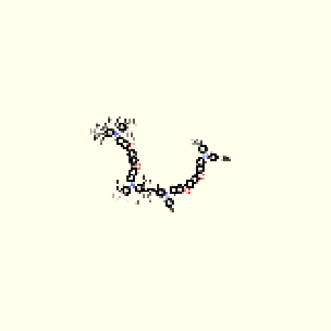 Cc1cc(N(c2cc(C)c(C)c(C)c2)c2ccc3cc4c(cc3c2)oc2cc3cc5oc6cc7cc(N(c8cc(C)c(C)c(C)c8)c8cc(C)c(CCC(C)(C)c9ccc(N(c%10ccc(C(C)(C)C)cc%10)c%10ccc%11cc%12c(cc%11c%10)oc%10cc%11cc%13oc%14cc%15cc(N(c%16ccc(C(C)(C)C)cc%16)c%16ccc(C(C)(C)C)cc%16)ccc%15cc%14c%13cc%11cc%10%12)cc9)c(C)c8)ccc7cc6c5cc3cc24)cc(C)c1C